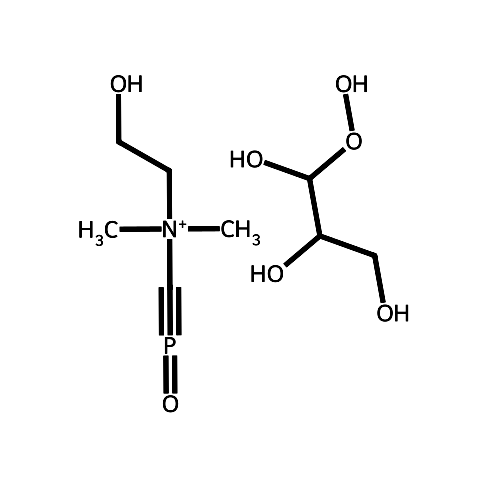 C[N+](C)(C#P=O)CCO.OCC(O)C(O)OO